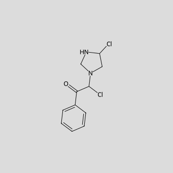 O=C(c1ccccc1)C(Cl)N1CNC(Cl)C1